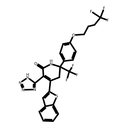 O=C1NC(c2ccc(OCCCC(F)(F)F)cc2)(C(F)(F)F)CC(c2cc3ccccc3s2)=C1c1nnn[nH]1